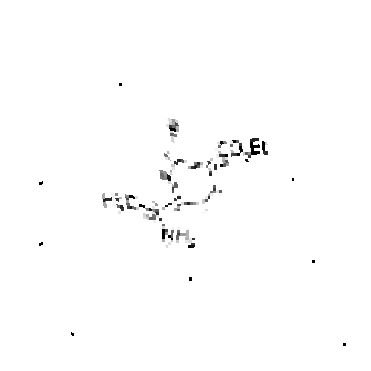 CCOC(=O)c1ccc([C@H](C)N)cc1F